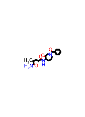 CC(C[CH]C(=O)N[C@H]1CCCN(C(=O)c2ccccc2)CC1=O)C(N)=O